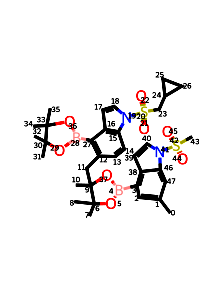 Cc1cc(B2OC(C)(C)C(C)(Cc3ccc4c(ccn4S(=O)(=O)CC4CC4)c3B3OC(C)(C)C(C)(C)O3)O2)c2ccn(S(C)(=O)=O)c2c1